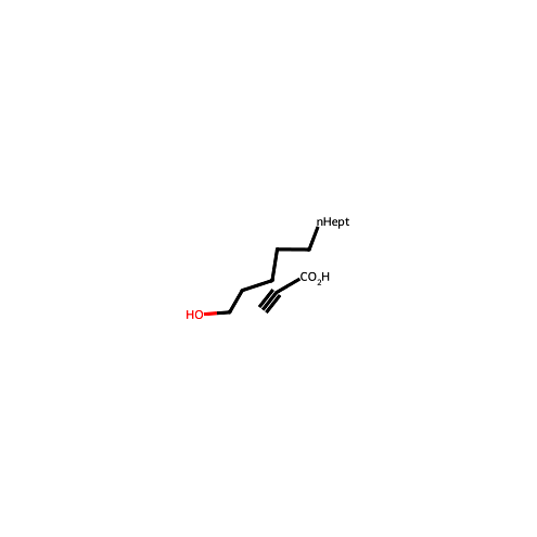 C#CC(=O)O.CCCCCCCCCCCCO